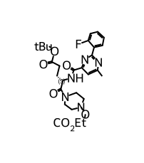 CCOC(=O)ON1CCN(C(=O)[C@H](CCC(=O)OC(C)(C)C)NC(=O)c2cc(C)nc(-c3ccccc3F)n2)CC1